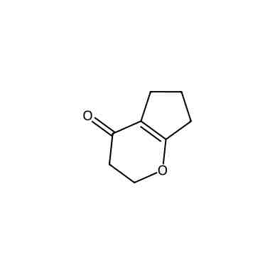 O=C1CCOC2=C1CCC2